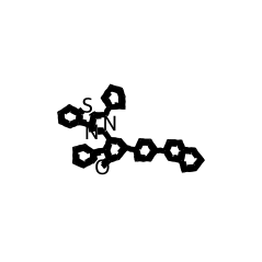 c1ccc(-c2nc(-c3cc(-c4ccc(-c5ccc6ccccc6c5)cc4)cc4oc5ccccc5c34)nc3c2sc2ccccc23)cc1